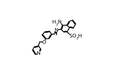 Nc1c(N=Nc2cccc(OCc3cccnc3)c2)cc(S(=O)(=O)O)c2ccccc12